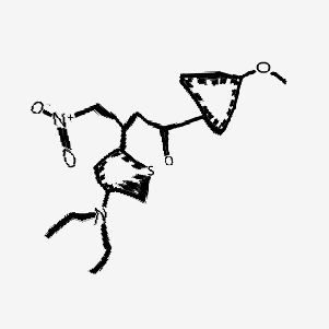 CCN(CC)c1csc(C(CC(=O)c2ccc(OC)cc2)C[N+](=O)[O-])c1